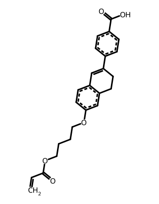 C=CC(=O)OCCCCOc1ccc2c(c1)CCC(c1ccc(C(=O)O)cc1)=C2